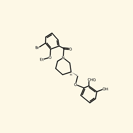 CCOc1c(Br)cccc1C(=O)N1CCC[C@@H](COc2cccc(O)c2C=O)C1